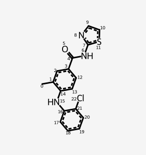 Cc1cc(C(=O)Nc2nccs2)ccc1Nc1ccccc1Cl